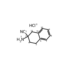 Cl.N#CC1(N)CCc2ccccc2C1